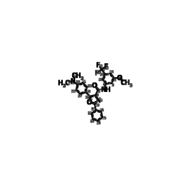 COc1cc(NC(=O)c2nc(-c3ccccc3)oc2-c2ccc(N(C)C)cc2)cc(C(F)(F)F)c1